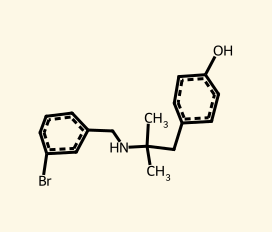 CC(C)(Cc1ccc(O)cc1)NCc1cccc(Br)c1